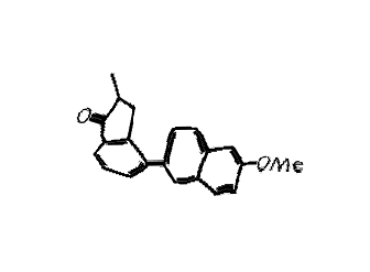 COc1ccc2cc(-c3cccc4c3CC(C)C4=O)ccc2c1